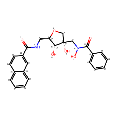 O=C(NC[C@H]1OC[C@@](O)(CN(O)C(=O)c2ccccc2)[C@@H]1O)c1ccc2ccccc2c1